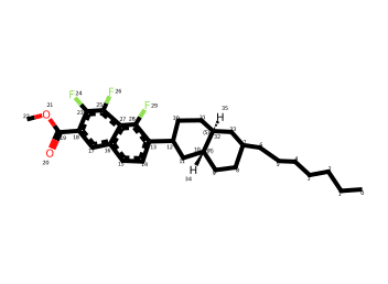 CCCCCCCC1CC[C@@H]2CC(c3ccc4cc(C(=O)OC)c(F)c(F)c4c3F)CC[C@H]2C1